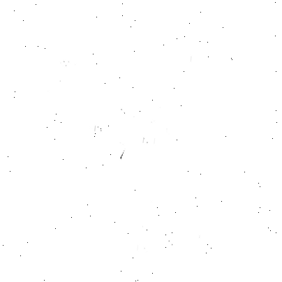 COC(=O)c1ccc2nc([C@H](Cc3ccc(C4CC(=O)NS4(O)O)cc3)NS(=O)(=O)c3ccc(C)c(Cl)c3)[nH]c2c1